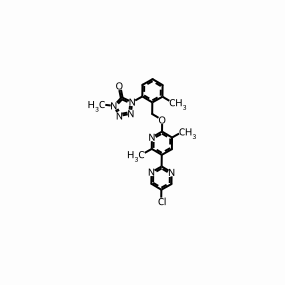 Cc1cc(-c2ncc(Cl)cn2)c(C)nc1OCc1c(C)cccc1-n1nnn(C)c1=O